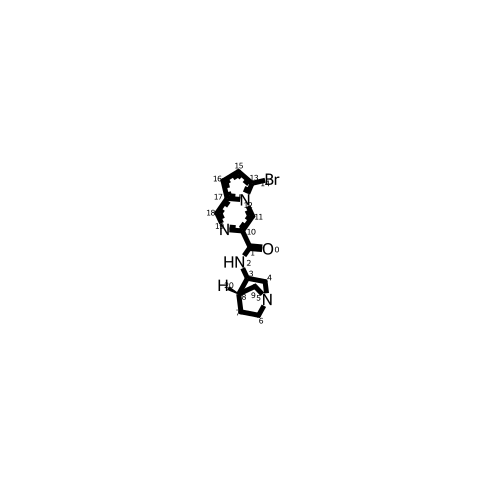 O=C(NC1CN2CC[C@H]1C2)c1cn2c(Br)ccc2cn1